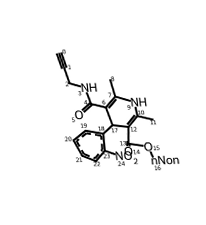 C#CCNC(=O)C1=C(C)NC(C)=C(C(=O)OCCCCCCCCC)C1c1ccccc1[N+](=O)[O-]